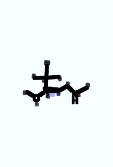 CNC/C=[N+](/OC)C(C)(C)C